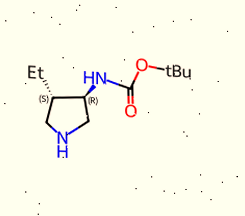 CC[C@H]1CNC[C@@H]1NC(=O)OC(C)(C)C